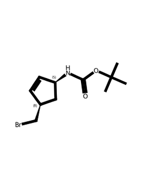 CC(C)(C)OC(=O)N[C@@H]1C=C[C@H](CBr)C1